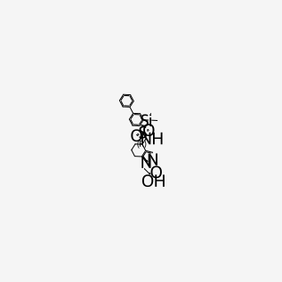 C[Si](C)(C)c1cc(-c2ccccc2)ccc1S(=O)(=O)N[C@@H]1CCCc2c1cnn2CC(=O)O